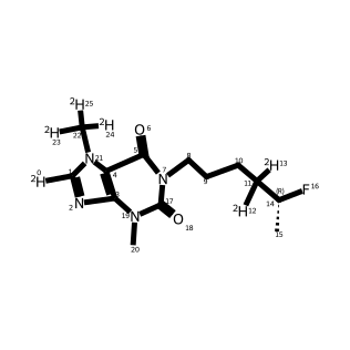 [2H]c1nc2c(c(=O)n(CCCC([2H])([2H])[C@@H](C)F)c(=O)n2C)n1C([2H])([2H])[2H]